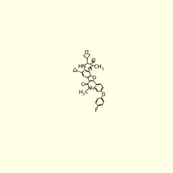 CNC(=O)c1c(-c2ccc(Oc3ccc(F)cc3)cc2)oc2cc(NC(C3COC3)S(C)(=O)=O)c(C3CC3)cc12